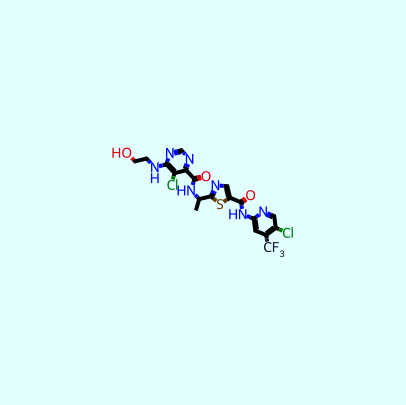 CC(NC(=O)c1ncnc(NCCO)c1Cl)c1ncc(C(=O)Nc2cc(C(F)(F)F)c(Cl)cn2)s1